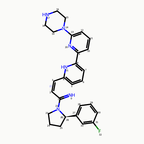 N=C(/C=C\C1=C=CC=C(c2cccc(N3CCNCC3)n2)N1)N1CCC[C@@H]1c1cccc(F)c1